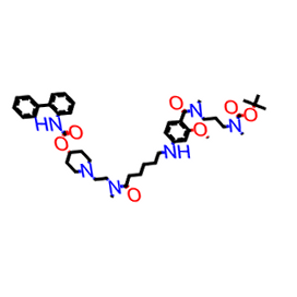 COc1cc(NCCCCCC(=O)N(C)CCN2CCC(OC(=O)Nc3ccccc3-c3ccccc3)CC2)ccc1C(=O)N(C)CCCN(C)C(=O)OC(C)(C)C